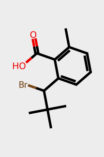 Cc1cccc(C(Br)C(C)(C)C)c1C(=O)O